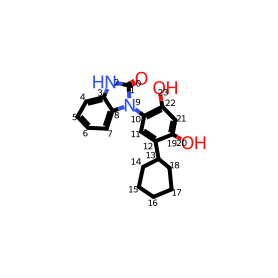 O=c1[nH]c2ccccc2n1-c1cc(C2CCCCC2)c(O)cc1O